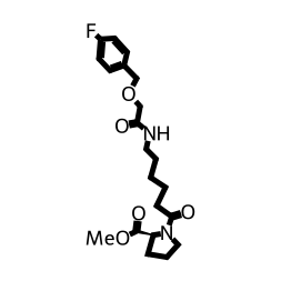 COC(=O)[C@@H]1CCCN1C(=O)CCCCCNC(=O)COCc1ccc(F)cc1